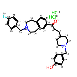 Cl.Cl.O=C(CCC1CCN(Cc2ccc(O)cc2)CC1)c1ccc2c(c1)CCN(Cc1ccc(F)cc1)CC2